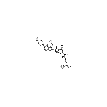 COC1CCN(c2ccc3cc(-c4nn5cc(C(=O)NCCCC(N)=C(C)C)cc(Cl)c5c4C)n(CC4CC4)c3n2)CC1